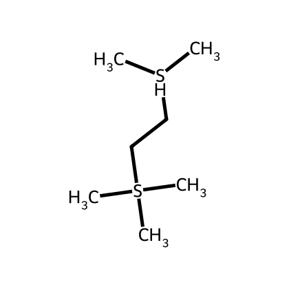 C[SH](C)CCS(C)(C)C